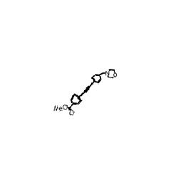 COC(=O)c1ccc(C#Cc2ccc(CN3CCOCC3)cc2)cc1